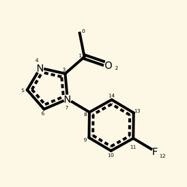 CC(=O)c1nccn1-c1ccc(F)cc1